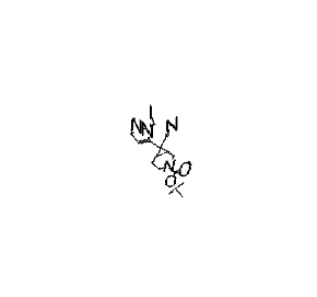 CC(C)(C)OC(=O)N1CCC2C(C1)C2(C#N)c1ccnn1CI